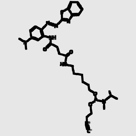 [C-]#[N+]CCOP(OCCCCCCNC(=O)CCC(=O)Nc1cc(N(C)C)ccc1N=Nc1nc2ccccc2s1)N(C)C(C)C